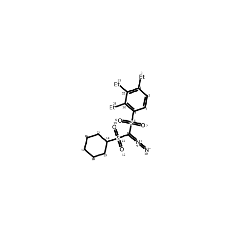 CCc1ccc(S(=O)(=O)C(=[N+]=[N-])S(=O)(=O)C2CCCCC2)c(CC)c1CC